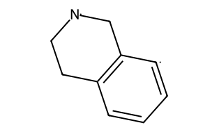 [c]1cccc2c1C[N]CC2